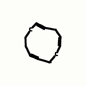 [CH]1/C=C\CCC/C=C/C/C=C\C1